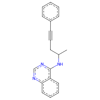 CC(CC#Cc1ccccc1)Nc1ncnc2ccccc12